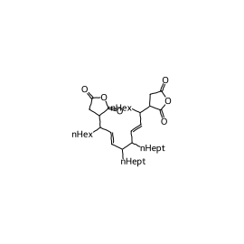 CCCCCCCC(/C=C/C(CCCCCC)C1CC(=O)OC1=O)C(/C=C/C(CCCCCC)C1CC(=O)OC1=O)CCCCCCC